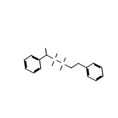 ClC(c1ccccc1)[Si](Cl)(Cl)[Si](Cl)(Cl)CCc1ccccc1